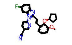 COc1cccc(C=Cc2nc3ccc(F)cc3n2-c2ccc(C#N)cn2)c1OC1CCCC1